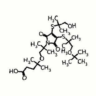 CC(C)(C)OCC(C)(C)SC1=C(SC(C)(C)CO)C(=O)N(C(C)(C)COC(C)(C)CCC(=O)O)C1=O